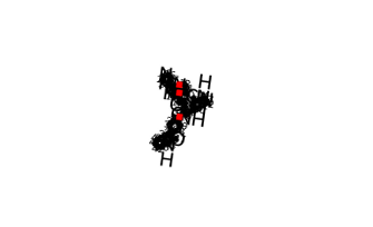 Cc1cc(C[C@H](CN[C@@H](CC2CCNCC2)C(=O)N2CCN(c3ccncc3)CC2)NC(=O)N2CCC(c3cc4ccccc4[nH]c3=O)CC2)cc2cn[nH]c12